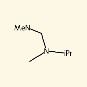 CNCN(C)C(C)C